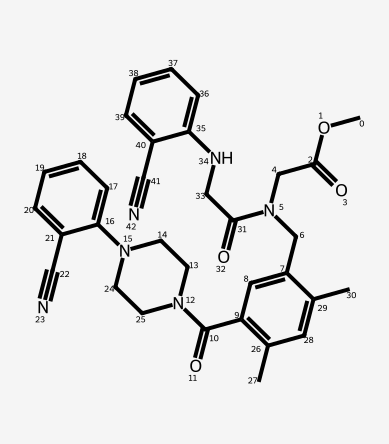 COC(=O)CN(Cc1cc(C(=O)N2CCN(c3ccccc3C#N)CC2)c(C)cc1C)C(=O)CNc1ccccc1C#N